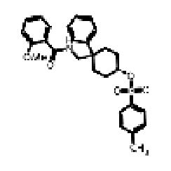 COc1ccccc1C(=O)NC[C@]1(c2ccccc2)CC[C@H](OS(=O)(=O)c2ccc(C)cc2)CC1